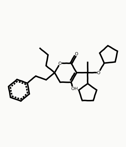 CCCC1(CCc2ccccc2)CC(O)=C(C(C)(OC2CCCC2)C2CCCC2)C(=O)O1